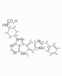 Nc1ncnc2c1c(-c1ccc3[nH]c(Cc4ccccc4)nc3c1)nn2C1CCC(NC(=O)O)CC1